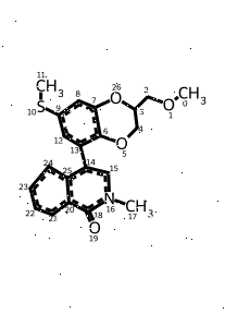 COCC1COc2c(cc(SC)cc2-c2cn(C)c(=O)c3ccccc23)O1